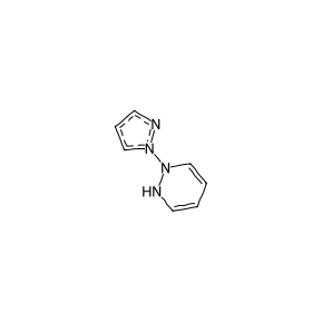 C1=CNN(n2cccn2)C=C1